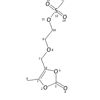 Cc1oc(=O)oc1COCCOS(C)(=O)=O